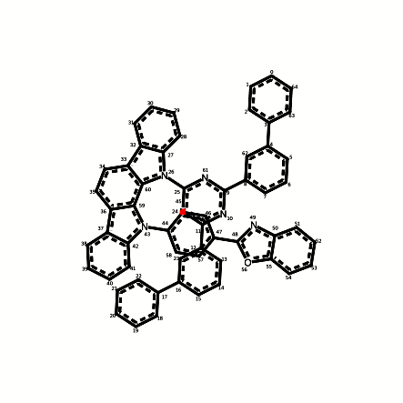 c1ccc(-c2cccc(-c3nc(-c4cccc(-c5ccccc5)c4)nc(-n4c5ccccc5c5ccc6c7ccccc7n(-c7ccc(-c8nc9ccccc9o8)cc7)c6c54)n3)c2)cc1